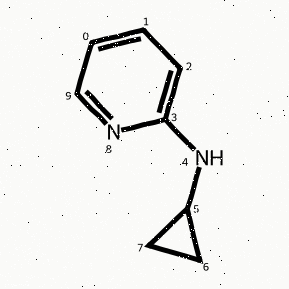 c1ccc(NC2CC2)nc1